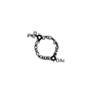 CC(=O)Oc1ccc2c(c1)OCCOCCOCCOCCOc1ccc(C(=O)OC(C)C)cc1OCCOCCOCCOCCO2